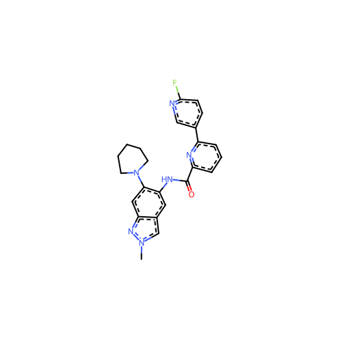 Cn1cc2cc(NC(=O)c3cccc(-c4ccc(F)nc4)n3)c(N3CCCCC3)cc2n1